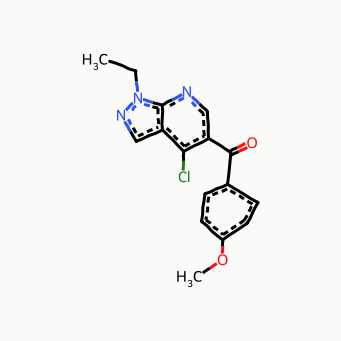 CCn1ncc2c(Cl)c(C(=O)c3ccc(OC)cc3)cnc21